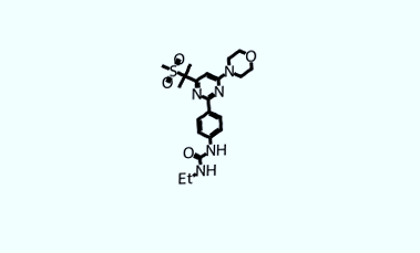 CCNC(=O)Nc1ccc(-c2nc(N3CCOCC3)cc(C(C)(C)S(C)(=O)=O)n2)cc1